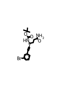 CC(C)(C)OC(=O)N[C@H](C#Cc1cccc(Br)c1)CCC(N)=O